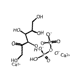 O=C(CO)C(O)C(O)C(O)CO.O=P([O-])([O-])OP(=O)([O-])O.[Ca+2].[Ca+2].[Cl-]